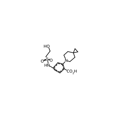 O=C(O)c1ccc(NS(=O)(=O)CCO)cc1N1CCC2(CC1)CC2